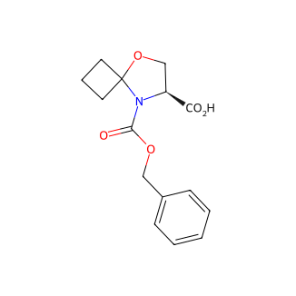 O=C(O)[C@@H]1COC2(CCC2)N1C(=O)OCc1ccccc1